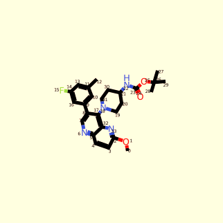 COc1ccc2ncc(-c3cc(C)cc(F)c3)c(N3CCC(NC(=O)OC(C)(C)C)CC3)c2n1